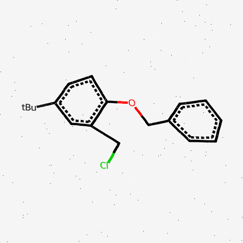 CC(C)(C)c1ccc(OCc2ccccc2)c(CCl)c1